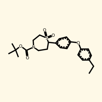 CCc1ccc(Oc2ccc(C3CCN(C(=O)OC(C)(C)C)CCS3(=O)=O)cc2)cc1